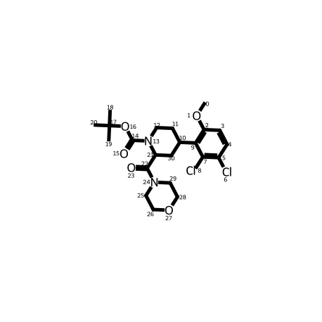 COc1ccc(Cl)c(Cl)c1C1CCN(C(=O)OC(C)(C)C)C(C(=O)N2CCOCC2)C1